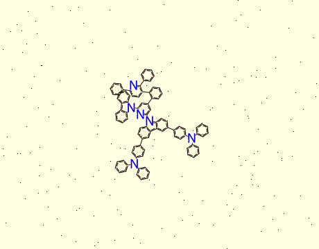 c1ccc(-c2ccc(-c3ccccc3-c3cc(-n4c5ccccc5c5ccccc54)nc(-n4c5ccc(-c6ccc(N(c7ccccc7)c7ccccc7)cc6)cc5c5cc(-c6ccc(N(c7ccccc7)c7ccccc7)cc6)ccc54)c3)c(-c3ccccc3)n2)cc1